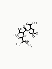 CNC(C)C(=O)NC(C(=O)N1CS(=O)(=O)CC1C(=O)O)C(C)C